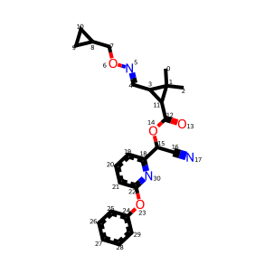 CC1(C)C(/C=N/OCC2CC2)C1C(=O)OC(C#N)c1cccc(Oc2ccccc2)n1